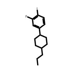 CCCC1CCC(c2ccc(I)c(F)c2)CC1